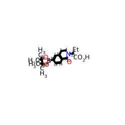 CCC(C(=O)O)N1CCc2cc(B3OC(C)(C)C(C)(C)O3)ccc2C1=O